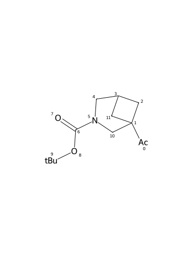 CC(=O)C12CC(CN(C(=O)OC(C)(C)C)C1)C2